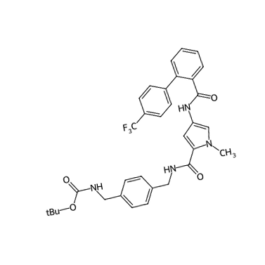 Cn1cc(NC(=O)c2ccccc2-c2ccc(C(F)(F)F)cc2)cc1C(=O)NCc1ccc(CNC(=O)OC(C)(C)C)cc1